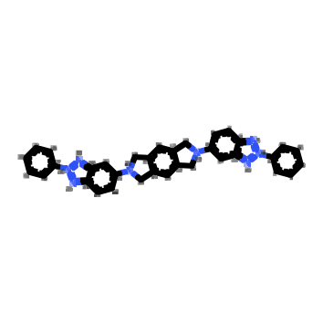 c1ccc(-n2nc3ccc(N4Cc5cc6c(cc5C4)CN(c4ccc5nn(-c7ccccc7)nc5c4)C6)cc3n2)cc1